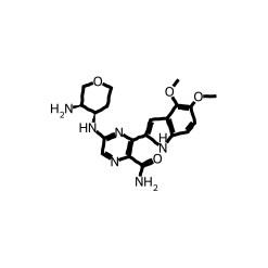 COc1ccc2[nH]c(-c3nc(N[C@@H]4CCOC[C@@H]4N)cnc3C(N)=O)cc2c1OC